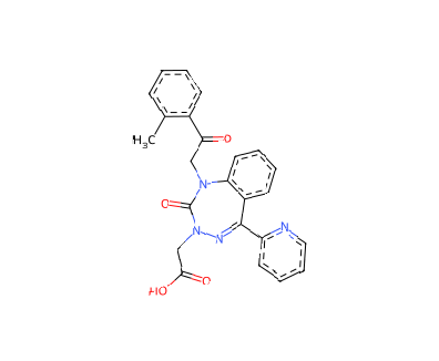 Cc1ccccc1C(=O)CN1C(=O)N(CC(=O)O)N=C(c2ccccn2)c2ccccc21